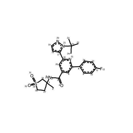 CC1(NC(=O)c2cc(-c3ccc(F)cc3)nc(-c3ccnn3C(C)(C)C)c2)CCS(=O)(=O)C1